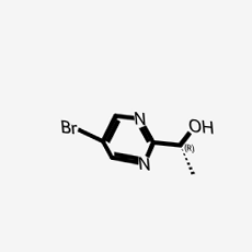 C[C@@H](O)c1ncc(Br)cn1